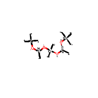 C[SiH](O[Si](C)(C)C)O[Si](C)(C)O[SiH](C)O[Si](C)(C)C